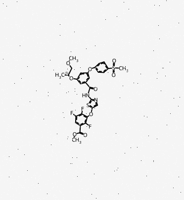 COC[C@H](C)Oc1cc(Oc2ccc(S(C)(=O)=O)cc2)cc(C(=O)Nc2ncc(Oc3c(F)c(F)cc(C(=O)OC)c3F)s2)c1